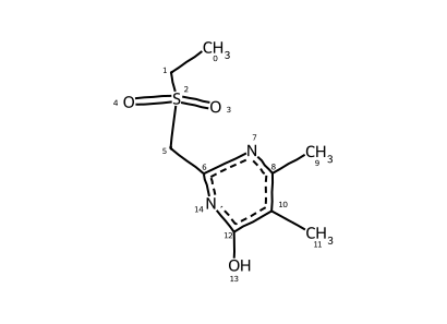 CCS(=O)(=O)Cc1nc(C)c(C)c(O)n1